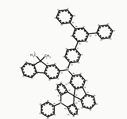 CC1(C)c2ccccc2-c2ccc(N(c3ccc(-c4cc(-c5ccccc5)cc(-c5ccccc5)c4)cc3)c3ccc4c(c3)C3(c5ccccc5-4)c4ccccc4N(c4ccccc4)c4ccccc43)cc21